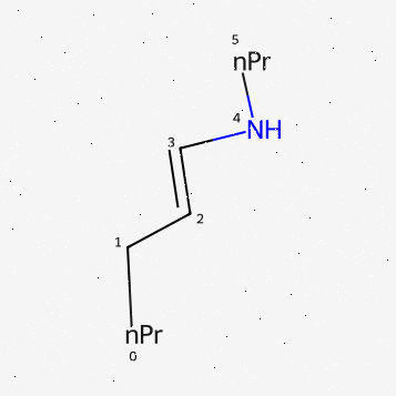 [CH2]CCCC=CNCCC